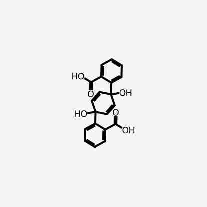 O=C(O)c1ccccc1C1(O)C=CC(O)(c2ccccc2C(=O)O)C=C1